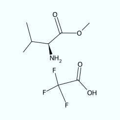 COC(=O)[C@@H](N)C(C)C.O=C(O)C(F)(F)F